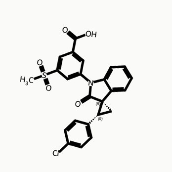 CS(=O)(=O)c1cc(C(=O)O)cc(N2C(=O)[C@@]3(C[C@@H]3c3ccc(Cl)cc3)c3ccccc32)c1